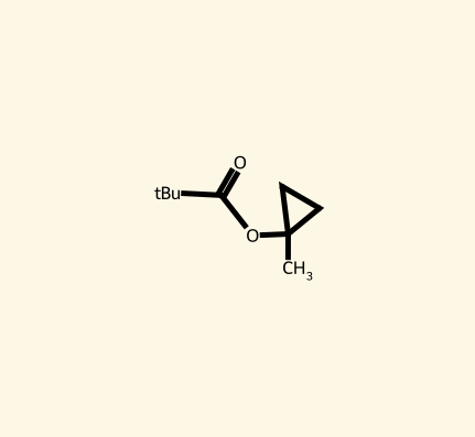 CC1(OC(=O)C(C)(C)C)CC1